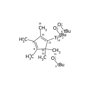 CC(C)(C)[O-].CC(C)(C)[O-].CC(C)(C)[O-].CC1=C(C)C(C)(C)[C]([Ti+3])=C1C